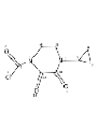 O=C(Cl)N1CCN(C2CC2)C(=O)C1=O